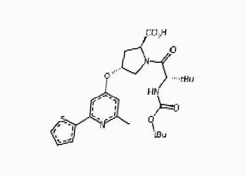 Cc1cc(O[C@@H]2C[C@@H](C(=O)O)N(C(=O)[C@@H](NC(=O)OC(C)(C)C)C(C)(C)C)C2)cc(-c2cccs2)n1